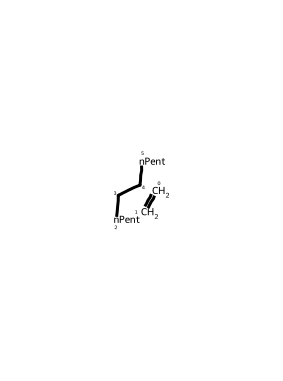 C=C.CCCCCCCCCCCC